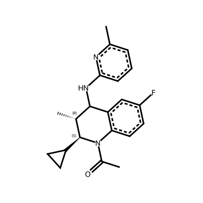 CC(=O)N1c2ccc(F)cc2C(Nc2cccc(C)n2)[C@@H](C)[C@@H]1C1CC1